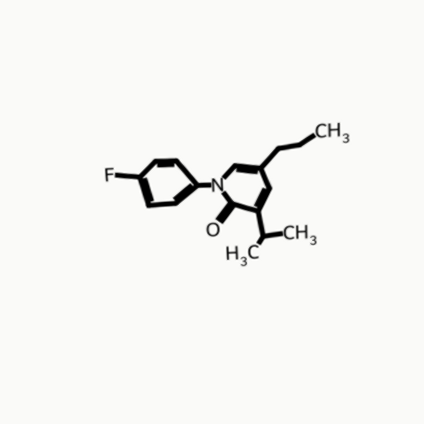 CCCc1cc(C(C)C)c(=O)n(-c2ccc(F)cc2)c1